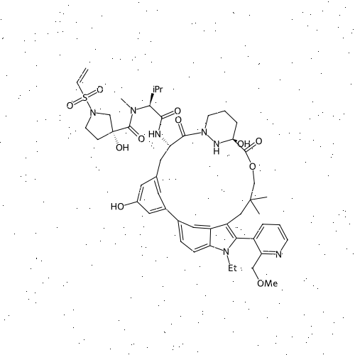 C=CS(=O)(=O)N1CC[C@](O)(C(=O)N(C)[C@H](C(=O)N[C@H]2Cc3cc(O)cc(c3)-c3ccc4c(c3)c(c(-c3cccnc3COC)n4CC)CC(C)(C)COC(=O)[C@@]3(O)CCCN(N3)C2=O)C(C)C)C1